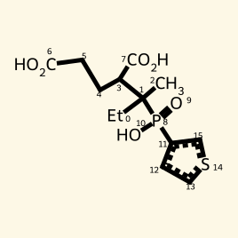 CCC(C)(C(CCC(=O)O)C(=O)O)P(=O)(O)c1ccsc1